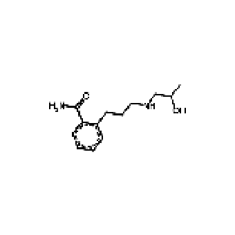 CC(O)CNCCCc1ccccc1C(N)=O